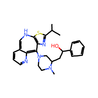 CC(C)c1nc2c(s1)NC=c1cccnc1=C2N1CCN(C)C(CC(O)c2ccccc2)C1